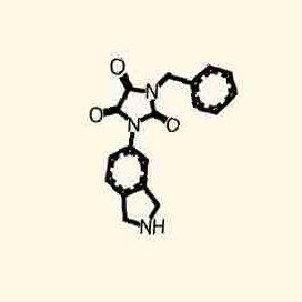 O=C1C(=O)N(c2ccc3c(c2)CNC3)C(=O)N1Cc1ccccc1